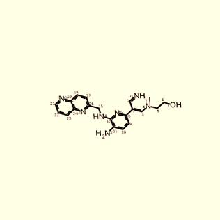 N=C/C(=C\NCCO)c1ccc(N)c(NCc2ccc3ncccc3n2)n1